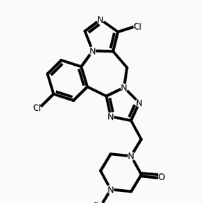 CCN1CCN(Cc2nc3n(n2)Cc2c(Cl)ncn2-c2ccc(Cl)cc2-3)C(=O)C1